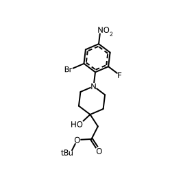 CC(C)(C)OC(=O)CC1(O)CCN(c2c(F)cc([N+](=O)[O-])cc2Br)CC1